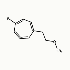 COCCC1=CC=C(F)C=C=C1